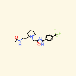 CC(=O)NCCC1CCCCN1Cc1nc(-c2ccc(C(F)(F)F)cc2)no1